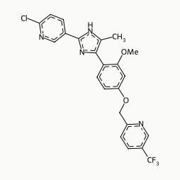 COc1cc(OCc2ccc(C(F)(F)F)cn2)ccc1-c1nc(-c2ccc(Cl)nc2)[nH]c1C